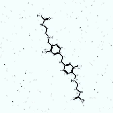 O=C(O)NCCNCc1ccc(CCc2ccc(CNCCNC(=O)O)c(O)c2)cc1O